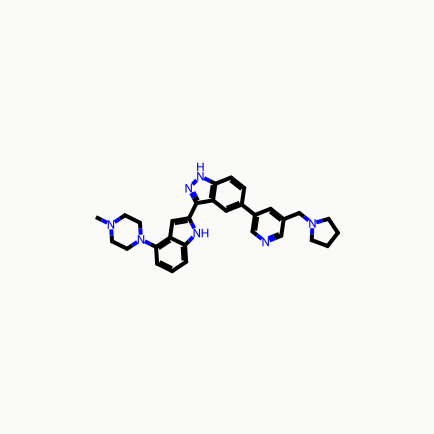 CN1CCN(c2cccc3[nH]c(-c4n[nH]c5ccc(-c6cncc(CN7CCCC7)c6)cc45)cc23)CC1